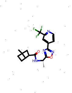 C[C@H](NC(=O)C1CC2(C)CCC12)c1nc(-c2ccnc(C(F)(F)F)c2)no1